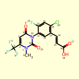 Cn1c(C(F)(F)F)cc(=O)n(-c2cc(C=CC(=O)O)c(Cl)cc2F)c1=O